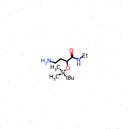 CCNC(=O)C(CCN)O[Si](C)(C)C(C)(C)C